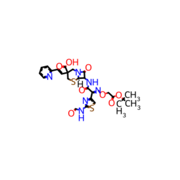 CC(C)(C)OC(=O)CON=C(C(=O)NC1C(=O)N2CC(C=Cc3ccccn3)(C(=O)O)CS[C@H]12)c1csc(NC=O)n1